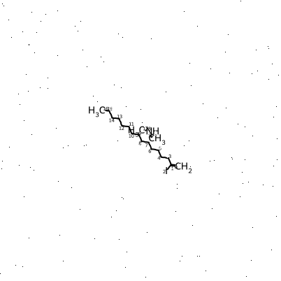 C=C(I)CCCCCCCCCCCCCC.CNC